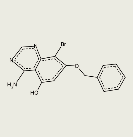 Nc1ncnc2c(Br)c(OCc3ccccc3)cc(O)c12